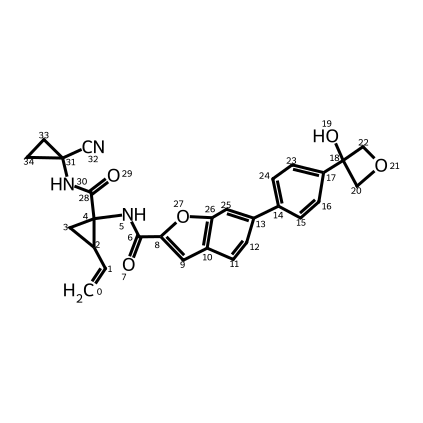 C=CC1CC1(NC(=O)c1cc2ccc(-c3ccc(C4(O)COC4)cc3)cc2o1)C(=O)NC1(C#N)CC1